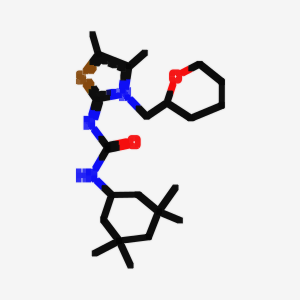 Cc1sc(=NC(=O)NC2CC(C)(C)CC(C)(C)C2)n(CC2CCCCO2)c1C